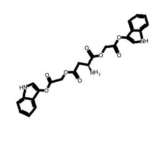 N[C@@H](CC(=O)OCC(=O)Oc1c[nH]c2ccccc12)C(=O)OCC(=O)Oc1c[nH]c2ccccc12